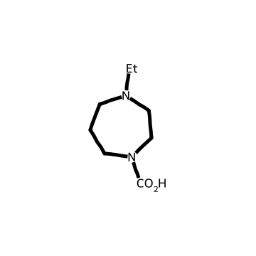 CCN1CCCN(C(=O)O)CC1